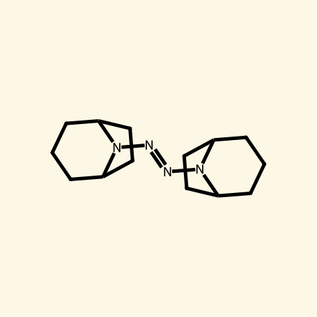 C1CC2CCC(C1)N2N=NN1C2CCCC1CC2